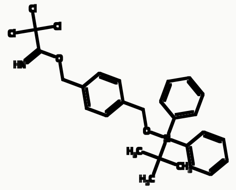 CC(C)(C)[Si](OCc1ccc(COC(=N)C(Cl)(Cl)Cl)cc1)(c1ccccc1)c1ccccc1